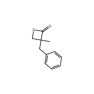 CC1(Cc2ccccc2)COC1=O